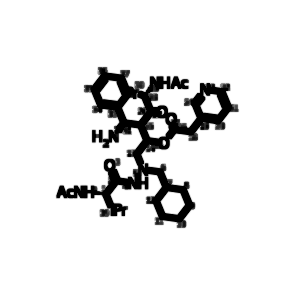 CC(=O)N[C@H](C(=O)NN(CC1CCCCC1)CC(OC(=O)Cc1cccnc1)C(C(=O)[C@@H](NC(C)=O)C(C)C)C(N)c1ccccc1)C(C)C